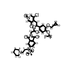 CS(=O)(=O)N(CCN1CCCCC1)c1ccc2c(c1)C(=O)N(CC(=O)OC(Cc1c(Cl)c[n+]([O-])cc1Cl)c1ccc(OC(F)F)c(OCC3CC3)c1)C2=O